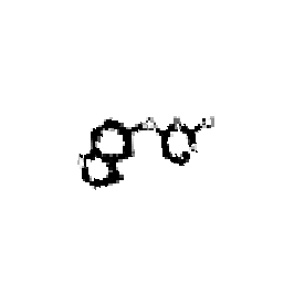 Clc1nccc(Oc2ccc3ncccc3c2)n1